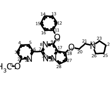 COc1cccc(-c2nc(Oc3ccccc3)c3c(OCCN4CCCC4)ccn3n2)n1